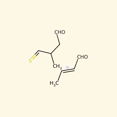 C/C=C/C=O.CC(C=S)CC=O